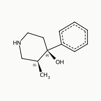 C[C@H]1CNCC[C@]1(O)c1ccccc1